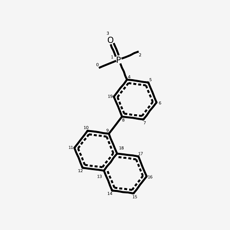 CP(C)(=O)c1cccc(-c2cccc3ccccc23)c1